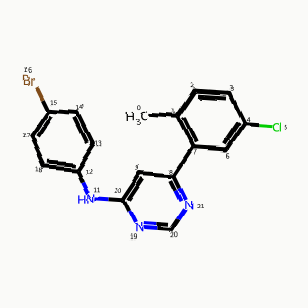 Cc1ccc(Cl)cc1-c1cc(Nc2ccc(Br)cc2)ncn1